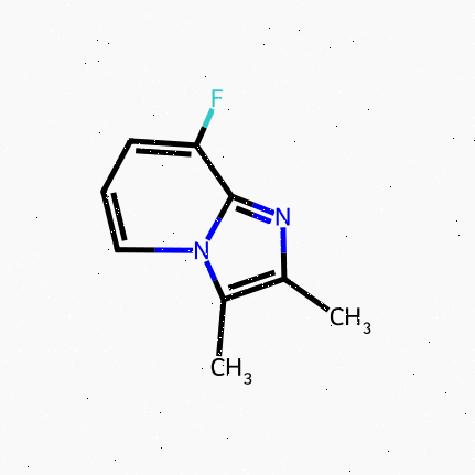 Cc1nc2c(F)cccn2c1C